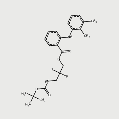 Cc1cccc(Nc2ccccc2C(=O)OCC(F)(F)CNC(=O)OC(C)(C)C)c1C